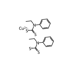 CCN(C(=S)[S-])c1ccccc1.CCN(C(=S)[S-])c1ccccc1.[Cu+2]